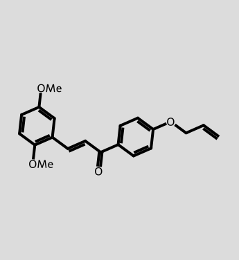 C=CCOc1ccc(C(=O)C=Cc2cc(OC)ccc2OC)cc1